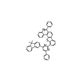 CC1(C)c2ccccc2-c2cc(-c3cc(-c4ccccc4)nc(-c4cccc5c4sc4c5ccc5c(-c6ccccc6)nc6ccccc6c54)n3)ccc21